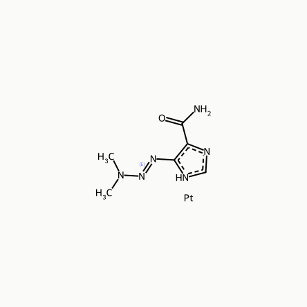 CN(C)/N=N/c1[nH]cnc1C(N)=O.[Pt]